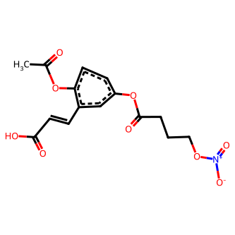 CC(=O)Oc1ccc(OC(=O)CCCO[N+](=O)[O-])cc1C=CC(=O)O